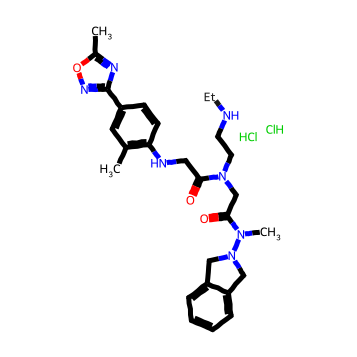 CCNCCN(CC(=O)N(C)N1Cc2ccccc2C1)C(=O)CNc1ccc(-c2noc(C)n2)cc1C.Cl.Cl